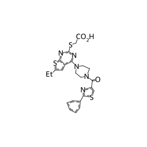 CCc1cc2c(N3CCN(C(=O)c4csc(-c5ccccc5)n4)CC3)nc(SCC(=O)O)nc2s1